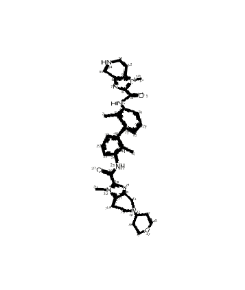 Cc1c(NC(=O)c2nc3c(n2C)CCNC3)cccc1-c1cccc(NC(=O)c2nc3c(n2C)CCN(C2CCOCC2)C3)c1C